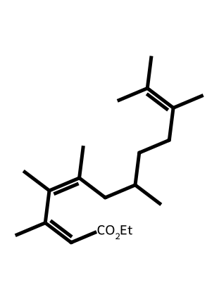 CCOC(=O)C=C(C)C(C)=C(C)CC(C)CCC(C)=C(C)C